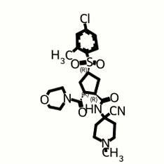 Cc1cc(Cl)ccc1S(=O)(=O)[C@@H]1C[C@@H](C(=O)NC2(C#N)CCN(C)CC2)[C@H](C(=O)N2CCOCC2)C1